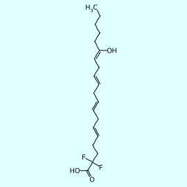 CCCCCC(O)=CCC=CCC=CCC=CCCC(F)(F)C(=O)O